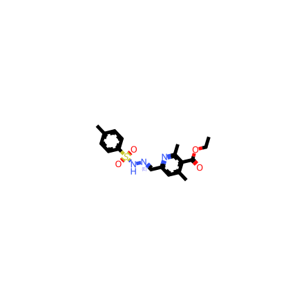 CCOC(=O)c1c(C)cc(/C=N/NS(=O)(=O)c2ccc(C)cc2)nc1C